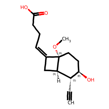 C#C[C@H]1[C@H](O)CC[C@]2(OC)C(=CCCC(=O)O)C[C@H]12